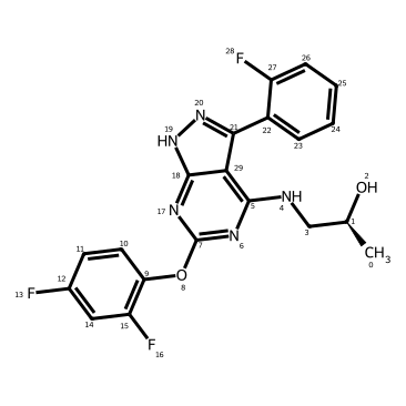 C[C@H](O)CNc1nc(Oc2ccc(F)cc2F)nc2[nH]nc(-c3ccccc3F)c12